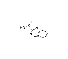 C=C(O)c1ccc2ccccc2n1